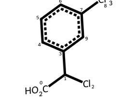 O=C(O)C(Cl)c1cccc(C(F)(F)F)c1